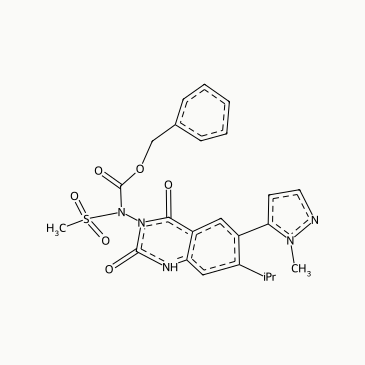 CC(C)c1cc2[nH]c(=O)n(N(C(=O)OCc3ccccc3)S(C)(=O)=O)c(=O)c2cc1-c1ccnn1C